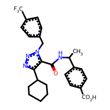 CC(NC(=O)c1c(C2CCCCC2)nnn1Cc1ccc(C(F)(F)F)cc1)c1ccc(C(=O)O)cc1